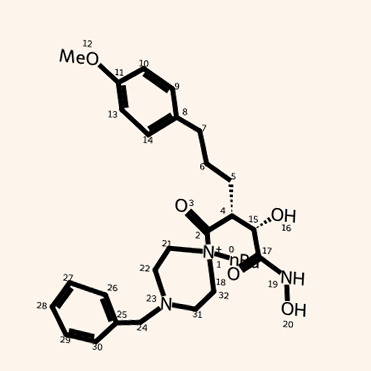 CCCC[N+]1(C(=O)[C@H](CCCc2ccc(OC)cc2)[C@H](O)C(=O)NO)CCN(Cc2ccccc2)CC1